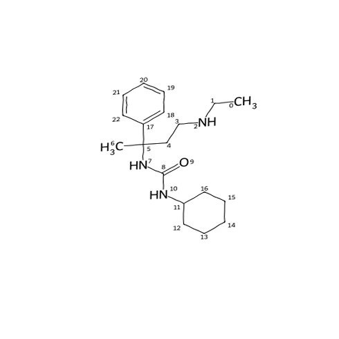 CCNCCC(C)(NC(=O)NC1CCCCC1)c1ccccc1